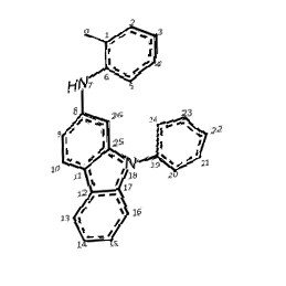 Cc1ccccc1Nc1ccc2c3ccccc3n(-c3ccccc3)c2c1